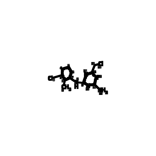 Cc1c(Cl)cccc1Nc1nc(N)nc(CCl)n1